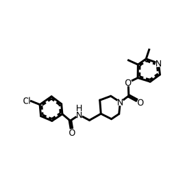 Cc1nccc(OC(=O)N2CCC(CNC(=O)c3ccc(Cl)cc3)CC2)c1C